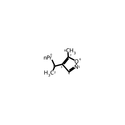 CCCC(C)c1cnoc1C